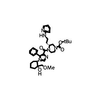 COC[C@]1(O)CCCC[C@H]1n1cnc(C(=O)N2CCN(C(=O)OC(C)(C)C)C[C@H]2CCNc2ccccn2)c1-c1ccccc1